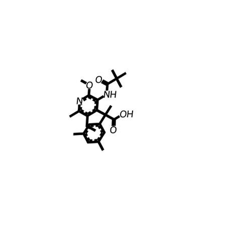 CCc1c(C)nc(OC)c(NC(=O)C(C)(C)C)c1C(C)(C(=O)O)c1cc(C)cc(C)c1